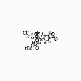 Cc1c([C@H](CNC(=O)OC(C)(C)C)NS(=O)(=O)CCCCl)ccc2c1COC2=O